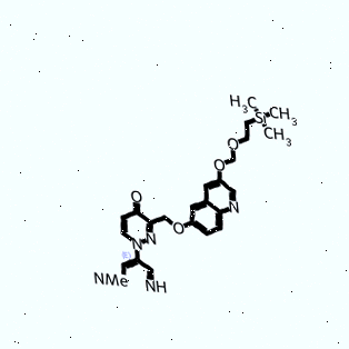 CN/C=C(\C=N)n1ccc(=O)c(COc2ccc3ncc(OCOCC[Si](C)(C)C)cc3c2)n1